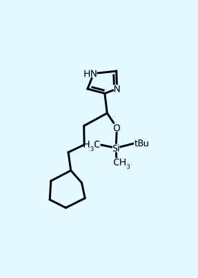 CC(C)(C)[Si](C)(C)OC(CCCC1CCCCC1)c1c[nH]cn1